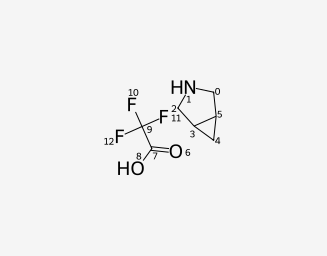 C1NCC2CC12.O=C(O)C(F)(F)F